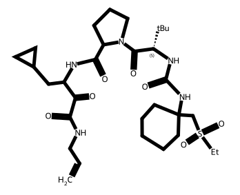 C=CCNC(=O)C(=O)C(CC1CC1)NC(=O)C1CCCN1C(=O)[C@@H](NC(=O)NC1(CS(=O)(=O)CC)CCCCC1)C(C)(C)C